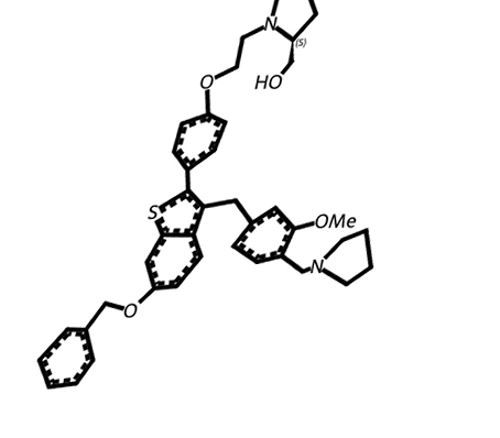 COc1cc(Cc2c(-c3ccc(OCCN4CCC[C@H]4CO)cc3)sc3cc(OCc4ccccc4)ccc23)ccc1CN1CCCC1